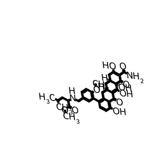 COC(=O)C(CC(C)C)NCc1ccc(OC)c(-c2ccc(O)c3c2C[C@H]2C[C@H]4CC(O)=C(C(N)=O)C(=O)[C@@]4(O)C(O)=C2C3=O)c1